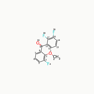 COc1c(F)cccc1C(=O)c1cccc(F)c1F